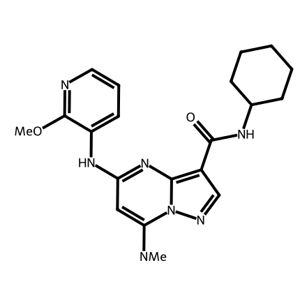 CNc1cc(Nc2cccnc2OC)nc2c(C(=O)NC3CCCCC3)cnn12